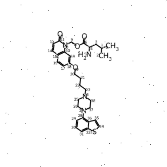 CC(C)CC(N)C(=O)OCn1c(=O)ccc2ccc(OCCCCN3CCN(c4cccc5sccc45)CC3)cc21